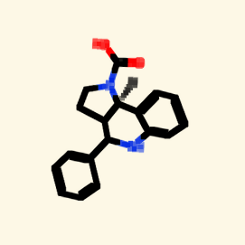 O=C(O)N1CCC2C(c3ccccc3)Nc3ccccc3[C@@H]21